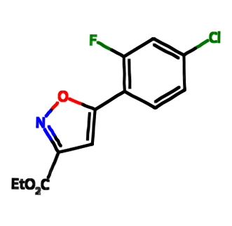 CCOC(=O)c1cc(-c2ccc(Cl)cc2F)on1